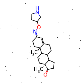 C[C@]12CCC3C(CCC4=C/C(=N\OC5CCNC5)CC[C@]43C)C1CCC2=O